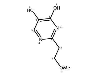 COCCc1n[c]c(O)c(O)n1